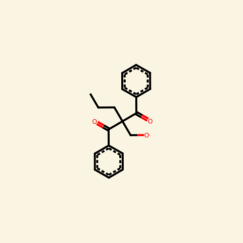 CCCC(C[O])(C(=O)c1ccccc1)C(=O)c1ccccc1